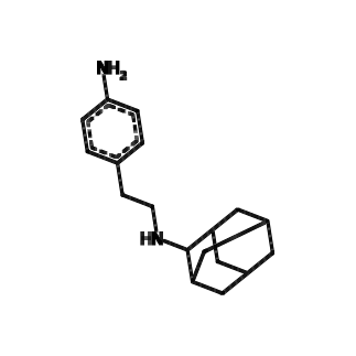 Nc1ccc(CCNC2C3CC4CC(C3)CC2C4)cc1